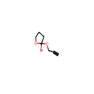 C#CCOC1(Br)CCCO1